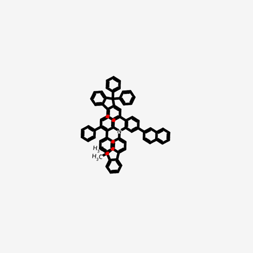 CC1(C)c2ccccc2-c2ccc(N(c3cc(-c4ccc5ccccc5c4)ccc3-c3ccc4c(c3)C(c3ccccc3)(c3ccccc3)c3ccccc3-4)c3cccc(-c4ccccc4)c3-c3ccccc3)cc21